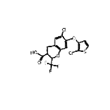 O=C(O)C1Cc2cc(Cl)c(Oc3ccsc3Cl)cc2OC1C(F)(F)F